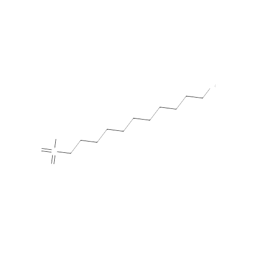 O=S(=O)(Cl)CCCCCCCCCCCBr